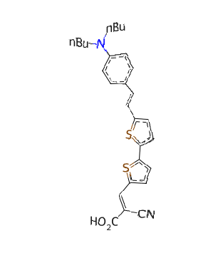 CCCCN(CCCC)c1ccc(/C=C/c2ccc(-c3ccc(/C=C(\C#N)C(=O)O)s3)s2)cc1